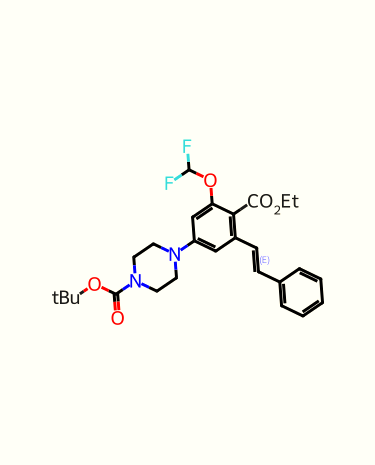 CCOC(=O)c1c(/C=C/c2ccccc2)cc(N2CCN(C(=O)OC(C)(C)C)CC2)cc1OC(F)F